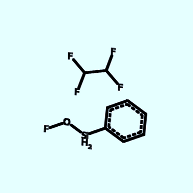 FC(F)C(F)F.FO[SiH2]c1ccccc1